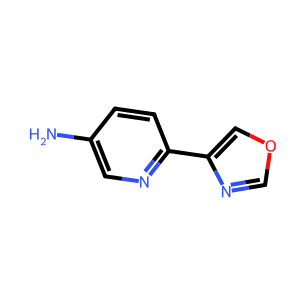 Nc1ccc(-c2cocn2)nc1